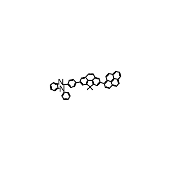 CC1(C)c2cc(-c3ccc(-c4nc5ccccc5n4-c4ccccc4)cc3)cc3ccc4cc(-c5ccc6ccc7cccc8ccc5c6c78)cc1c4c23